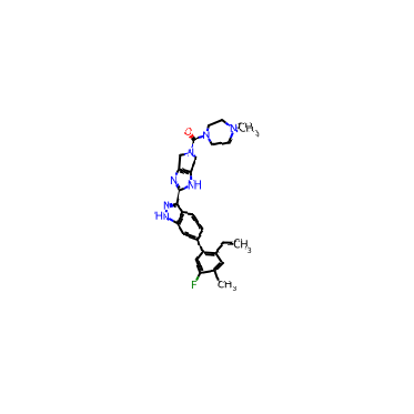 CCc1cc(C)c(F)cc1-c1ccc2c(-c3nc4c([nH]3)CN(C(=O)N3CCN(C)CC3)C4)n[nH]c2c1